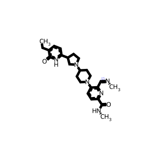 CCc1ccc(C2CCN(C3CCN(c4ccc(C(=O)NC)nc4/C=N\C)CC3)C2)[nH]c1=O